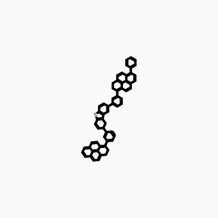 c1cc(C2=c3ccc4cccc5ccc(c3c54)CC2)cc(C2C=Cc3sc4ccc(-c5cccc(C6=c7ccc8ccc(-c9ccccc9)c9ccc(c7c89)CC6)c5)cc4c3C2)c#1